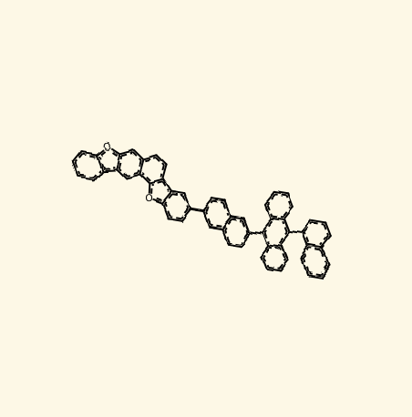 c1ccc2c(-c3c4ccccc4c(-c4ccc5cc(-c6ccc7oc8c9cc%10c(cc9ccc8c7c6)oc6ccccc6%10)ccc5c4)c4ccccc34)cccc2c1